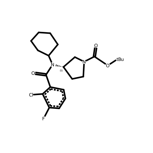 CC(C)(C)OC(=O)N1CC[C@H](N(C(=O)c2cccc(F)c2Cl)C2CCCCC2)C1